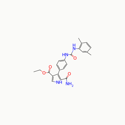 CCOC(=O)c1c[nH]c(C(N)=O)c1-c1ccc(NC(=O)Nc2cc(C)ccc2C)cc1